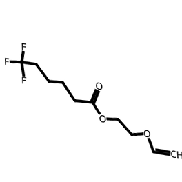 C=COCCOC(=O)CCCCC(F)(F)F